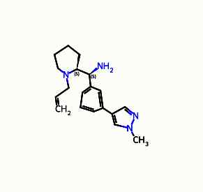 C=CCN1CCCC[C@H]1[C@@H](N)c1cccc(-c2cnn(C)c2)c1